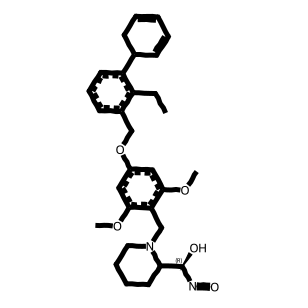 CCc1c(COc2cc(OC)c(CN3CCCCC3[C@@H](O)N=O)c(OC)c2)cccc1C1C=CC=CC1